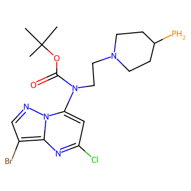 CC(C)(C)OC(=O)N(CCN1CCC(P)CC1)c1cc(Cl)nc2c(Br)cnn12